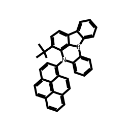 CC(C)(C)c1ccc2c3c1N(c1ccc4ccc5cccc6ccc1c4c56)c1ccccc1B3c1ccccc1-2